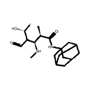 CN[C@@H](C(C=O)[C@H](O)I)[C@@H](C)C(=O)NC12CC3CC(CC(C3)C1)C2